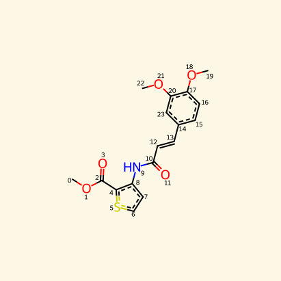 COC(=O)c1sccc1NC(=O)C=Cc1ccc(OC)c(OC)c1